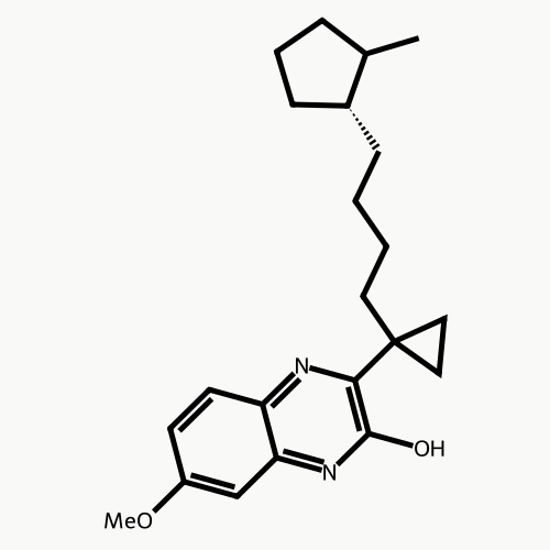 COc1ccc2nc(C3(CCCC[C@@H]4CCCC4C)CC3)c(O)nc2c1